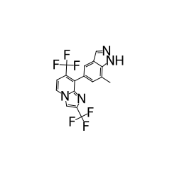 Cc1cc(-c2c(C(F)(F)F)ccn3cc(C(F)(F)F)nc23)cc2cn[nH]c12